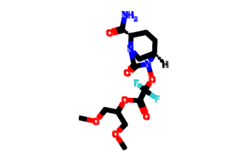 COCC(COC)OC(=O)C(F)(F)ON1C(=O)N2C[C@H]1CC[C@H]2C(N)=O